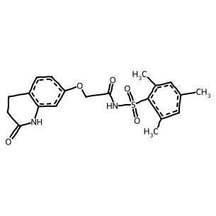 Cc1cc(C)c(S(=O)(=O)NC(=O)COc2ccc3c(c2)NC(=O)CC3)c(C)c1